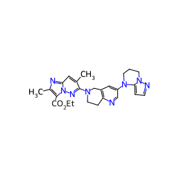 CCOC(=O)c1c(C)nc2cc(C)c(N3CCc4ncc(N5CCCn6nccc65)cc4C3)nn12